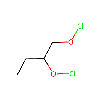 CCC(COCl)OCl